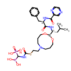 CC(C)C[C@@H](NC(=O)[C@@H](Cc1ccccc1)NC(=O)c1cnccn1)B1OCCCN(CCSC(=O)NC(P(O)O)P(=O)(O)O)CCCO1